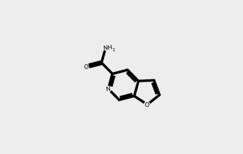 NC(=O)c1cc2ccoc2cn1